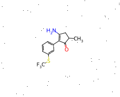 CC1CC(N)=C(c2cccc(SC(F)(F)F)c2)C1=O